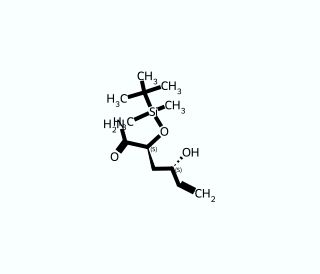 C=C[C@@H](O)C[C@H](O[Si](C)(C)C(C)(C)C)C(N)=O